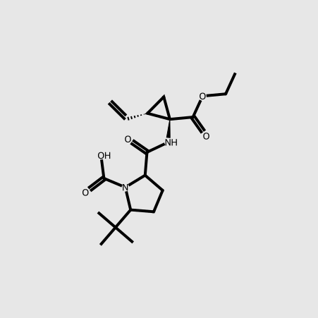 C=C[C@@H]1C[C@]1(NC(=O)C1CCC(C(C)(C)C)N1C(=O)O)C(=O)OCC